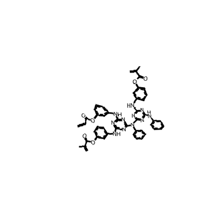 C=CC(=O)Oc1cccc(Nc2nc(Nc3cccc(OC(=O)C(=C)C)c3)nc(N(c3ccccc3)c3nc(Nc4ccccc4)nc(Nc4cccc(OC(=O)C(=C)C)c4)n3)n2)c1